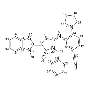 CN1C(=C2SC(=Nc3cc(C#N)ccc3N3CCCC3)N(Cc3ccccc3)C2=O)Sc2ccccc21